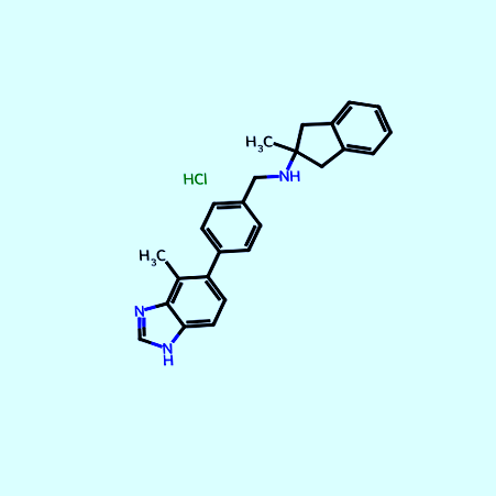 Cc1c(-c2ccc(CNC3(C)Cc4ccccc4C3)cc2)ccc2[nH]cnc12.Cl